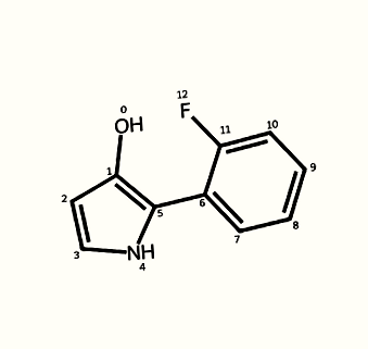 Oc1cc[nH]c1-c1ccccc1F